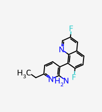 CCc1ccc(-c2c(F)ccc3cc(F)cnc23)c(N)n1